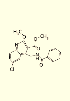 COC(=O)c1c(OC)nc2ccc(Cl)cc2c1CNC(=O)c1ccccc1